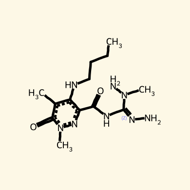 CCCCNc1c(C(=O)N/C(=N/N)N(C)N)nn(C)c(=O)c1C